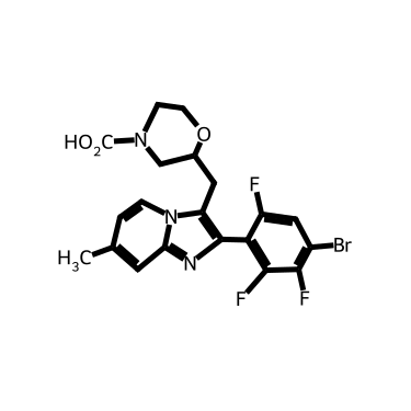 Cc1ccn2c(CC3CN(C(=O)O)CCO3)c(-c3c(F)cc(Br)c(F)c3F)nc2c1